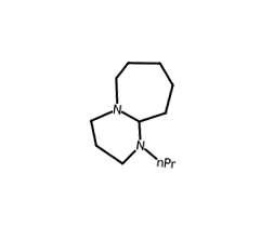 CCCN1CCCN2CCCCCC12